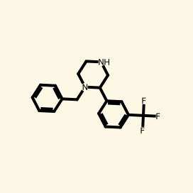 FC(F)(F)c1cccc(C2CNCCN2Cc2ccccc2)c1